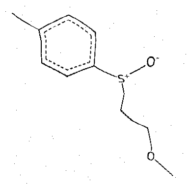 COCC[S+]([O-])c1ccc(C)cc1